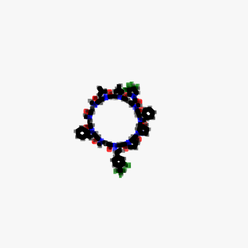 CC(C)C[C@@H]1NC(=O)[C@H](CC(C)C)N(C)C(=O)C[C@@H](C(=O)N2CC(F)(F)C(F)(F)C2)N(C)C(=O)[C@H](C2CCCCC2)N(C)C(=O)C2(CCCC2)NC(=O)[C@@H]2CCCN2C(=O)[C@H](CCc2ccc(C(F)(F)F)c(Cl)c2)NC(=O)CN(C)C(=O)[C@H](CC2CCCCC2)N(C)C(=O)CN(C)C(=O)CN(C)C1=O